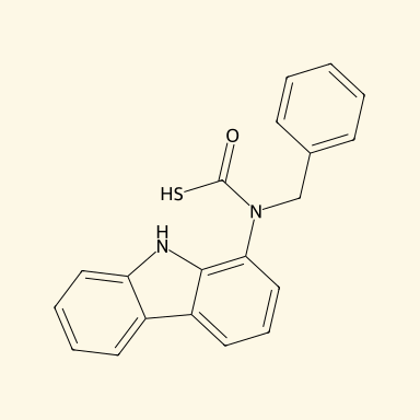 O=C(S)N(Cc1ccccc1)c1cccc2c1[nH]c1ccccc12